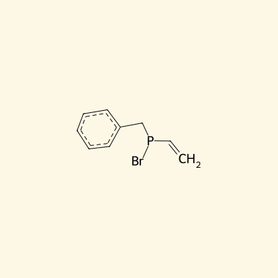 C=CP(Br)Cc1ccccc1